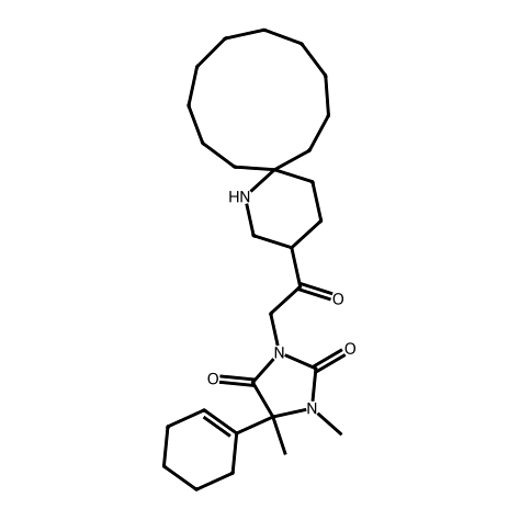 CN1C(=O)N(CC(=O)C2CCC3(CCCCCCCCCC3)NC2)C(=O)C1(C)C1=CCCCC1